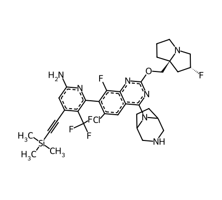 C[Si](C)(C)C#Cc1cc(N)nc(-c2c(Cl)cc3c(N4C5CCC4CNC5)nc(OC[C@@]45CCCN4C[C@H](F)C5)nc3c2F)c1C(F)(F)F